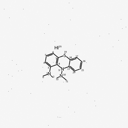 CN(C)c1cccc2c1N(N(C)C)c1ccccc1S2.I